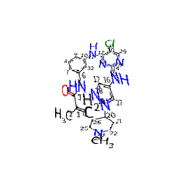 C=C(C)C(=O)Nc1cccc(Nc2nc(Nc3cnn(C4CCN(C)CC4)c3)ncc2Cl)c1